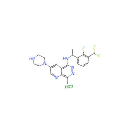 Cc1nnc(NC(C)c2cccc(C(F)F)c2F)c2cc(N3CCNCC3)cnc12.Cl